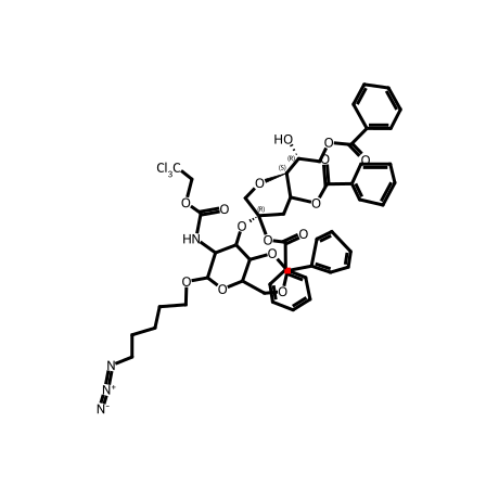 [N-]=[N+]=NCCCCCOC1OC2COC(c3ccccc3)OC2C(O[C@]2(OC(=O)c3ccccc3)CO[C@@H]([C@H](O)COC(=O)c3ccccc3)C(OC(=O)c3ccccc3)C2)C1NC(=O)OCC(Cl)(Cl)Cl